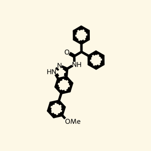 COc1cccc(-c2ccc3c(NC(=O)C(c4ccccc4)c4ccccc4)n[nH]c3c2)c1